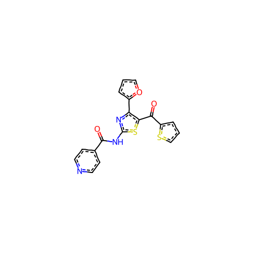 O=C(Nc1nc(-c2ccco2)c(C(=O)c2cccs2)s1)c1ccncc1